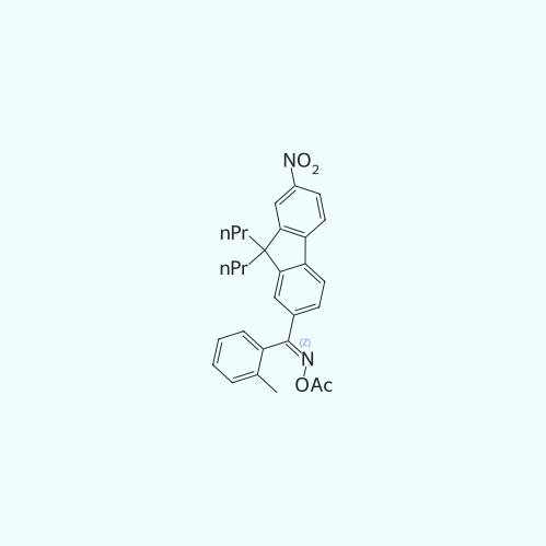 CCCC1(CCC)c2cc(/C(=N/OC(C)=O)c3ccccc3C)ccc2-c2ccc([N+](=O)[O-])cc21